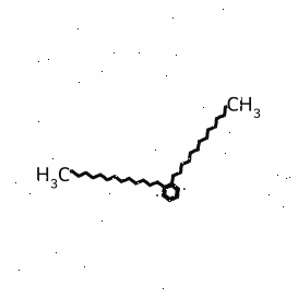 CCCCCCCCCCCCCCc1[c]cc[c]c1CCCCCCCCCCCCCC